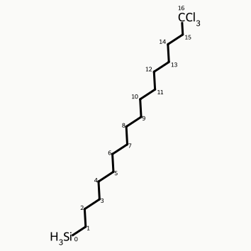 [SiH3]CCCCCCCCCCCCCCCC(Cl)(Cl)Cl